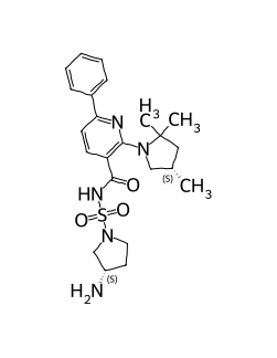 C[C@@H]1CN(c2nc(-c3ccccc3)ccc2C(=O)NS(=O)(=O)N2CC[C@H](N)C2)C(C)(C)C1